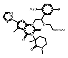 COCCO[C@@H](Cn1c(=O)n([C@]2(C)CCCN(C)C2=O)c(=O)c2c(C)c(-n3nccn3)sc21)c1cc(F)ccc1OC